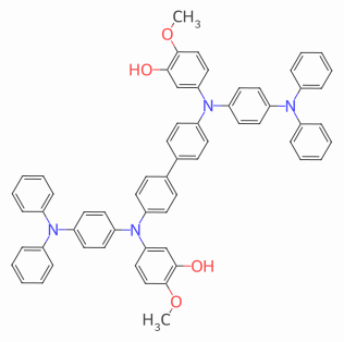 COc1ccc(N(c2ccc(-c3ccc(N(c4ccc(N(c5ccccc5)c5ccccc5)cc4)c4ccc(OC)c(O)c4)cc3)cc2)c2ccc(N(c3ccccc3)c3ccccc3)cc2)cc1O